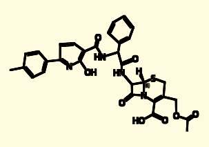 CC(=O)OCC1=C(C(=O)O)N2C(=O)C(NC(=O)C(NC(=O)c3ccc(-c4ccc(C)cc4)nc3O)c3ccccc3)[C@@H]2SC1